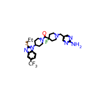 CCSc1nc2cc(C(F)(F)F)ccc2n1C1CCN(C(=O)C2(F)CCN(Cc3cnc(N)nc3)CC2)CC1